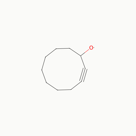 [O]C1C#CCCCCCCC1